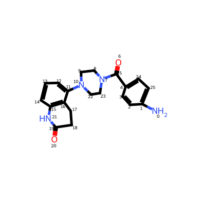 Nc1ccc(C(=O)N2CCN(c3cccc4c3CCC(=O)N4)CC2)cc1